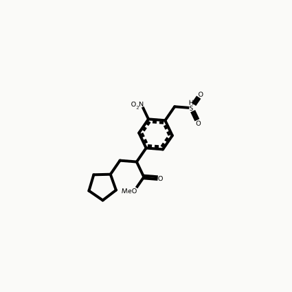 COC(=O)C(CC1CCCC1)c1ccc(C[SH](=O)=O)c([N+](=O)[O-])c1